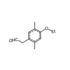 CCOc1cc(C)c(CC=O)cc1C